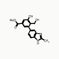 COC(=O)c1cc(C#N)c(CO)c(-c2ccc3[nH]c(C)nc3c2)c1